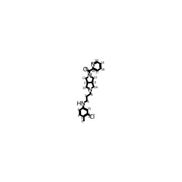 Cc1ccc(NCCCN2CC3CN(C(=O)c4ccccn4)CC3C2)cc1Cl